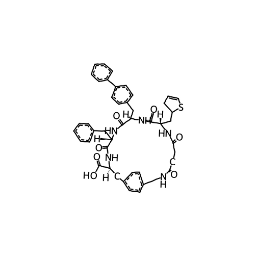 O=C1CCC(=O)N[C@@H](CC2CC=CS2)C(=O)N[C@H](Cc2ccc(-c3ccccc3)cc2)C(=O)N[C@@H](Cc2ccccc2)C(=O)N[C@H](C(=O)O)Cc2ccc(cc2)N1